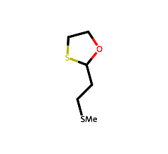 CSCCC1OCCS1